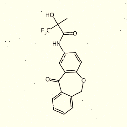 CC(O)(C(=O)Nc1ccc2c(c1)C(=O)c1ccccc1CO2)C(F)(F)F